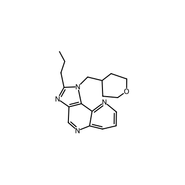 CCCc1nc2cnc3cccnc3c2n1CC1CCOCC1